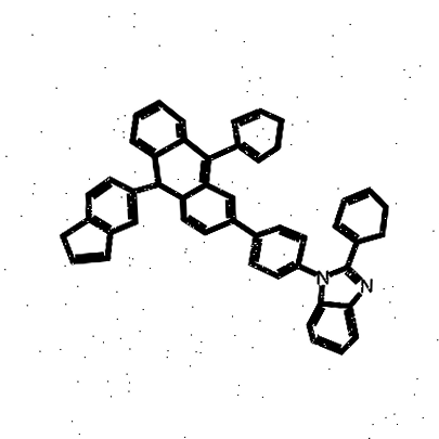 C1=CCCC(c2nc3ccccc3n2-c2ccc(C3=CC4=C(C5=CCCC=C5)c5ccccc5C(c5ccc6c(c5)C=CC6)C4C=C3)cc2)=C1